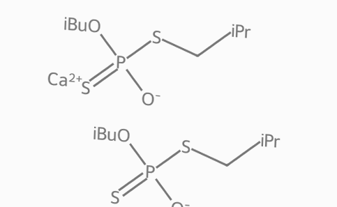 CC(C)COP([O-])(=S)SCC(C)C.CC(C)COP([O-])(=S)SCC(C)C.[Ca+2]